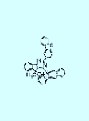 CC1(C)c2ccccc2-c2nc(-c3ccc4sc5ccccc5c4c3)nc(-n3c4ccccc4c4cc5ccccc5cc43)c21